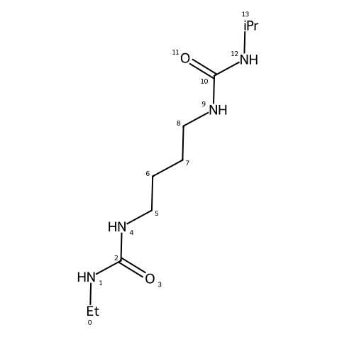 CCNC(=O)NCCCCNC(=O)NC(C)C